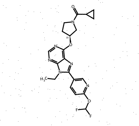 CCn1c(-c2ccc(OC(F)F)nc2)nc2c(O[C@H]3CCN(C(=O)C4CC4)C3)ncnc21